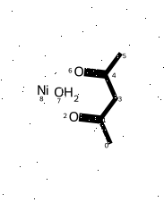 CC(=O)CC(C)=O.O.[Ni]